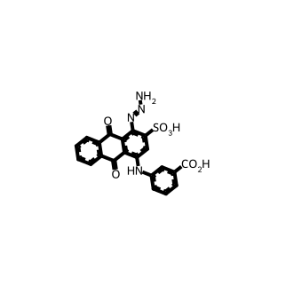 NN=Nc1c(S(=O)(=O)O)cc(Nc2cccc(C(=O)O)c2)c2c1C(=O)c1ccccc1C2=O